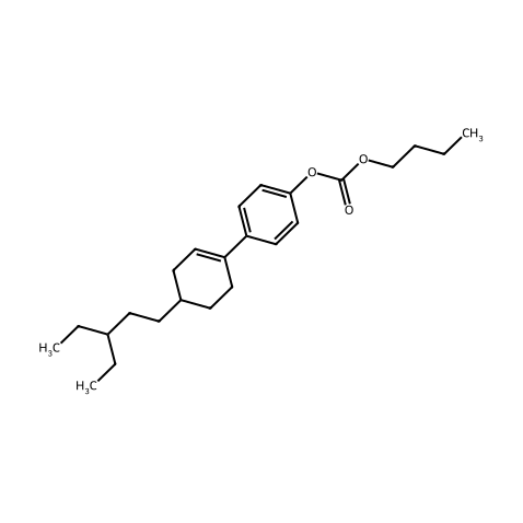 CCCCOC(=O)Oc1ccc(C2=CCC(CCC(CC)CC)CC2)cc1